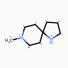 CN1CCC2(CCCN2)CC1